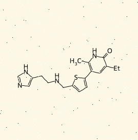 CCc1cc(-c2ccc(CNCCc3cnc[nH]3)s2)c(C)[nH]c1=O